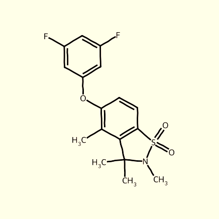 Cc1c(Oc2cc(F)cc(F)c2)ccc2c1C(C)(C)N(C)S2(=O)=O